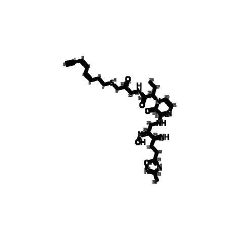 C#C/C=C\C=C/CCSCC(=O)CNC(=O)C(CC)n1ccnc(NC/C(=N/O)C(=N)CCc2nc(C)no2)c1=O